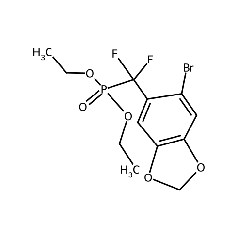 CCOP(=O)(OCC)C(F)(F)c1cc2c(cc1Br)OCO2